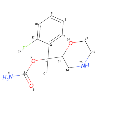 CC(OC(N)=O)(c1ccccc1F)C1CNCCO1